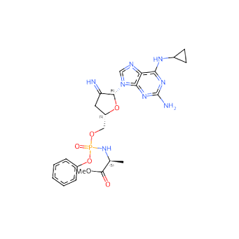 COC(=O)[C@H](C)NP(=O)(OC[C@@H]1CC(=N)[C@H](n2cnc3c(NC4CC4)nc(N)nc32)O1)Oc1ccccc1